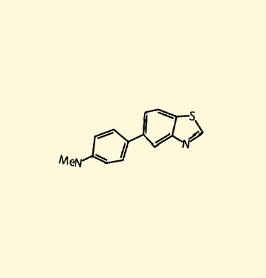 CNc1ccc(-c2ccc3scnc3c2)cc1